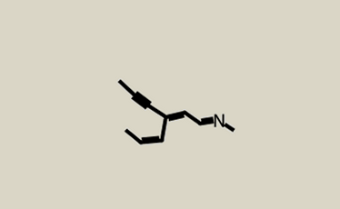 CC#CC(/C=C\C)=C/C=N/C